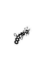 O=C1C(=Cc2cc3oc(-c4c(F)c(F)c(F)c(F)c4F)cc3o2)C(=O)c2cc3ccccc3cc21